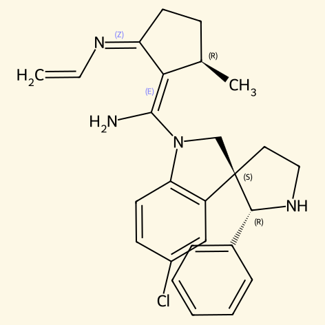 C=C/N=C1/CC[C@@H](C)/C1=C(/N)N1C[C@]2(CCN[C@@H]2c2ccccc2)c2cc(Cl)ccc21